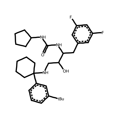 CC(C)(C)c1cccc(C2(NCC(O)C(Cc3cc(F)cc(F)c3)NC(=O)NC3CCCC3)CCCCC2)c1